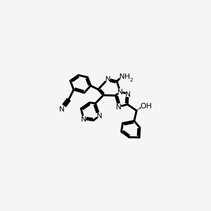 N#Cc1cccc(-c2nc(N)n3nc([C@H](O)c4ccccc4)nc3c2-c2ccncn2)c1